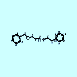 c1ccc(COCCCNCCc2ccccn2)cc1